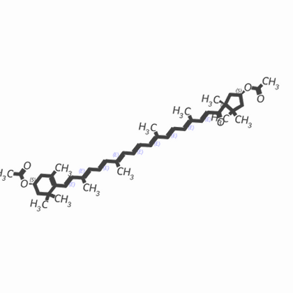 CC(=O)O[C@@H]1CC(C)=C(/C=C/C(C)=C/C=C/C(C)=C/C=C/C=C(C)/C=C/C=C(C)/C=C/C(=O)[C@]2(C)C[C@@H](OC(C)=O)CC2(C)C)C(C)(C)C1